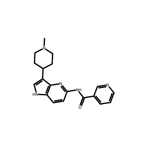 CN1CCC(c2c[nH]c3ccc(NC(=O)c4cccnc4)nc23)CC1